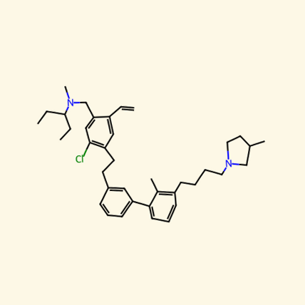 C=Cc1cc(CCc2cccc(-c3cccc(CCCCN4CCC(C)C4)c3C)c2)c(Cl)cc1CN(C)C(CC)CC